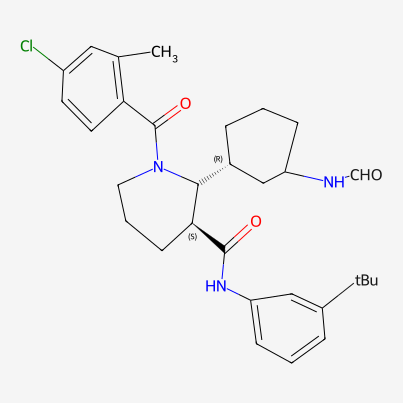 Cc1cc(Cl)ccc1C(=O)N1CCC[C@H](C(=O)Nc2cccc(C(C)(C)C)c2)C1[C@@H]1CCCC(NC=O)C1